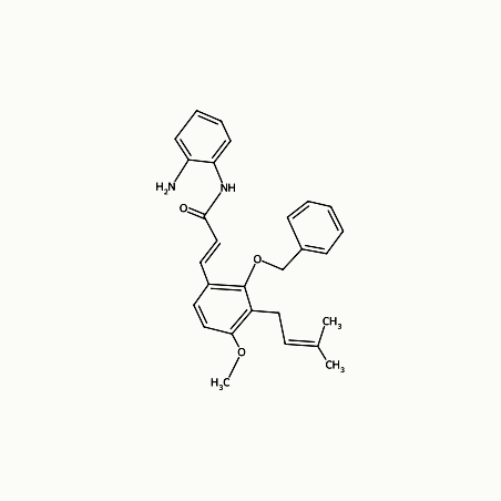 COc1ccc(/C=C/C(=O)Nc2ccccc2N)c(OCc2ccccc2)c1CC=C(C)C